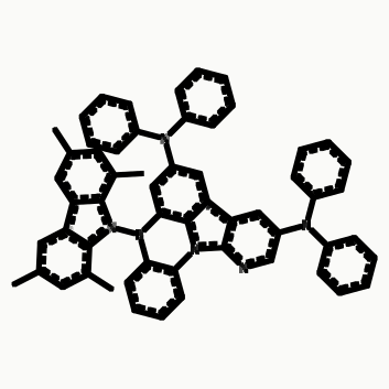 Cc1cc(C)c2c(c1)c1cc(C)cc(C)c1n2B1c2ccccc2-n2c3ncc(N(c4ccccc4)c4ccccc4)cc3c3cc(N(c4ccccc4)c4ccccc4)cc1c32